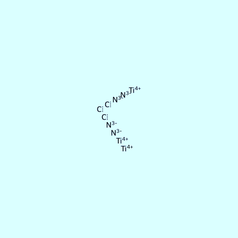 [C].[C].[C].[N-3].[N-3].[N-3].[N-3].[Ti+4].[Ti+4].[Ti+4]